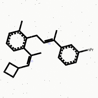 CCCc1cccc(/C(C)=C/Cc2c(C)cccc2/C(C)=C\C2CCC2)c1